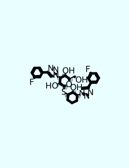 OC[C@H]1O[C@@H](S[C@@H]2CCC[C@H](n3cc(-c4cccc(F)c4)nn3)[C@H]2O)[C@H](O)[C@@H](n2cc(-c3cccc(F)c3)nn2)[C@H]1O